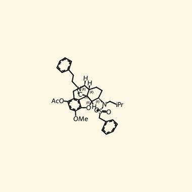 COc1cc(OC(C)=O)c2c3c1O[C@H]1[C@H](N(CC(C)C)S(=O)(=O)Cc4ccccc4)CC[C@H]4[C@@H](C2)N(CCc2ccccc2)CC[C@@]341